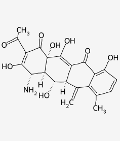 C=C1c2c(C)ccc(O)c2C(=O)C2=C(O)[C@]3(O)C(=O)C(C(C)=O)=C(O)[C@@H](N)[C@@H]3[C@@H](O)[C@H]12